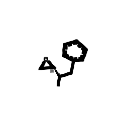 CC(Cc1ccccc1)[C@@H]1CO1